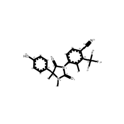 Cc1c(N2C(=O)N(C)C(C)(c3ccc(O)cc3)C2=O)ccc(C#N)c1C(F)(F)F